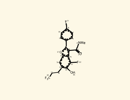 CNC(=O)c1c(-c2ccc(F)cc2)oc2cc(CCC(F)(F)F)c(O)c(F)c12